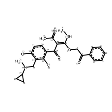 CN/C(OCC(=O)c1ccccc1)=C(\C(C)=N)C(=O)c1ccc(Cl)c(CN(C)C2CC2)c1Cl